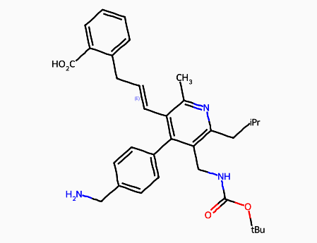 Cc1nc(CC(C)C)c(CNC(=O)OC(C)(C)C)c(-c2ccc(CN)cc2)c1/C=C/Cc1ccccc1C(=O)O